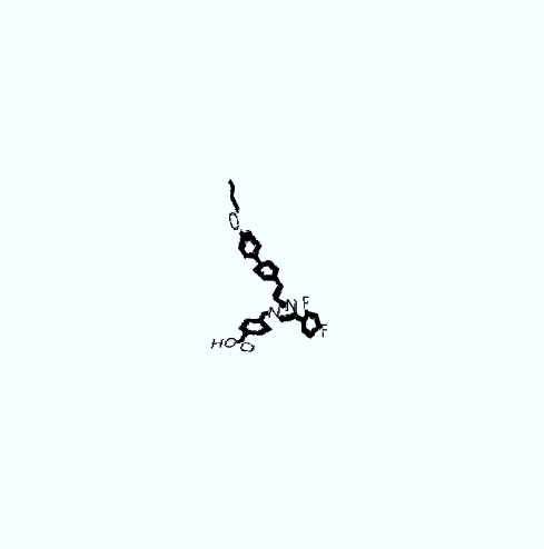 CCCCOc1ccc(-c2ccc(/C=C/c3nc(-c4ccc(F)cc4F)cn3Cc3ccc(C(=O)O)cc3)cc2)cc1